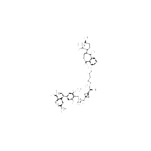 COc1cc(-c2cn(C)c(=O)c3cnc(N(C)C)cc23)cc(OC)c1CN(C)CC12CC(C(=O)NCCCCCOc3cccc4c3C(=O)CCC(C3CCC(=O)NC3=O)C4=O)(C1)C2